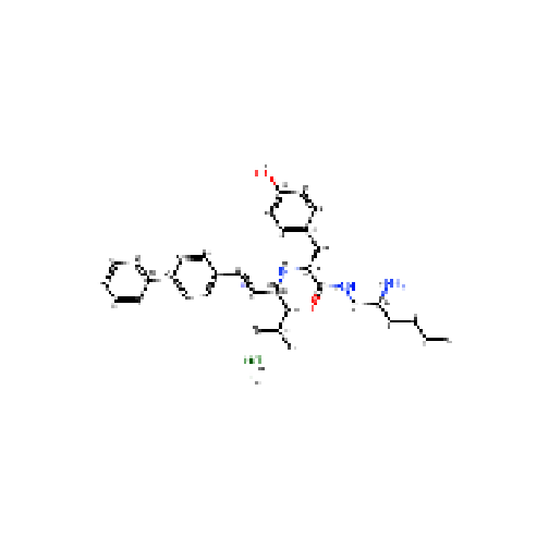 CCCC[C@H](N)CNC(=O)[C@H](Cc1ccc(O)cc1)N[C@H](/C=C/c1ccc(-c2ccccc2)cc1)CC(C)C.Cl.Cl